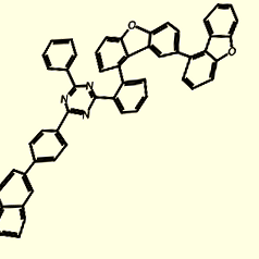 c1ccc(-c2nc(-c3ccc(-c4ccc5ccccc5c4)cc3)nc(-c3ccccc3-c3cccc4oc5ccc(-c6cccc7oc8ccccc8c67)cc5c34)n2)cc1